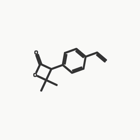 C=Cc1ccc(C2C(=O)OC2(C)C)cc1